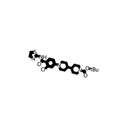 CC(C)(C)OC(=O)N1CCC(C2CCN(c3ccc(C(=O)Nc4nccs4)c(Cl)c3)CC2)CC1